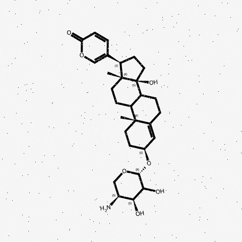 C[C@]12CC[C@H](O[C@H]3OC[C@H](N)[C@H](O)C3O)C=C1CCC1C2CC[C@]2(C)[C@@H](c3ccc(=O)oc3)CC[C@]12O